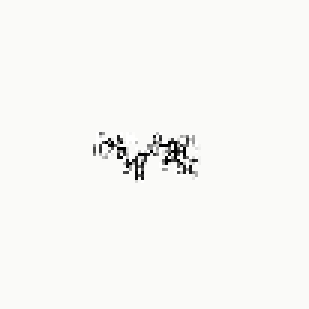 CC(O)C1C(=O)N2C(C(=O)OSC3CNC(C(=O)N4CC([N+](C)(C)CCF)C4)C3)=CC(C)[C@@H]12